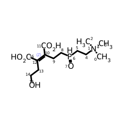 C[N+](C)(C)CC[PH](=O)CC/C(C(=O)O)=C(\CCO)C(=O)O